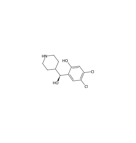 Oc1cc(Cl)c(Cl)cc1[C@@H](O)C1CCNCC1